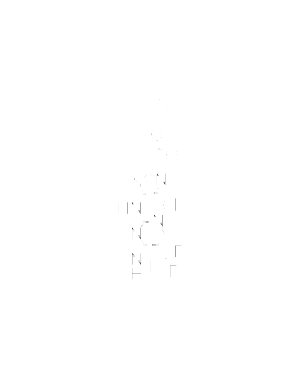 CCNc1nc(Nc2sc(CC(=O)OCC3CC3)nc2Cl)ncc1C(F)(F)F